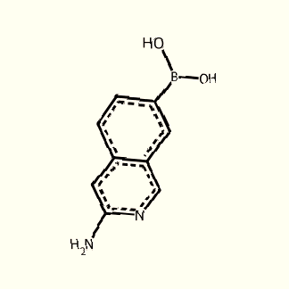 Nc1cc2ccc(B(O)O)cc2cn1